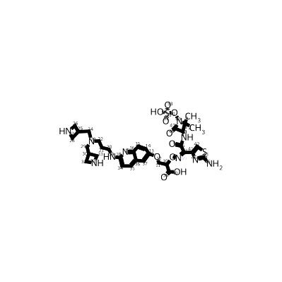 CC1(C)[C@H](NC(=O)/C(=N\OC(COc2ccc3nc(NCCCN(CC4CNC4)CC4CNC4)ccc3c2)C(=O)O)c2csc(N)n2)C(=O)N1OS(=O)(=O)O